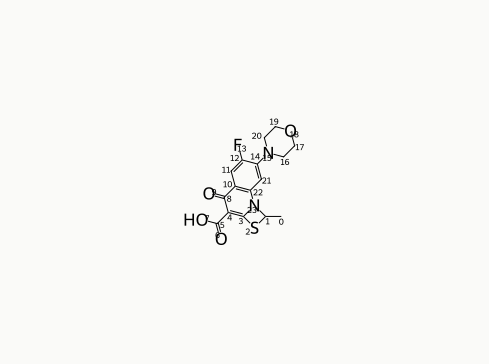 CC1Sc2c(C(=O)O)c(=O)c3cc(F)c(N4CCOCC4)cc3n21